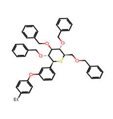 CCc1ccc(Oc2cccc([C@@H]3S[C@H](COCc4ccccc4)[C@@H](OCc4ccccc4)[C@H](OCc4ccccc4)[C@H]3OCc3ccccc3)c2)cc1